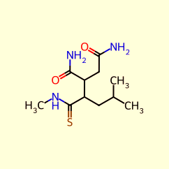 CNC(=S)C(CC(C)C)C(CC(N)=O)C(N)=O